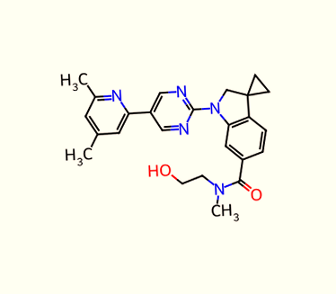 Cc1cc(C)nc(-c2cnc(N3CC4(CC4)c4ccc(C(=O)N(C)CCO)cc43)nc2)c1